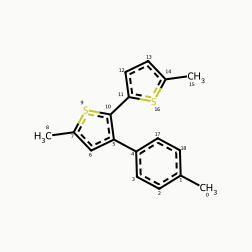 Cc1ccc(-c2cc(C)sc2-c2ccc(C)s2)cc1